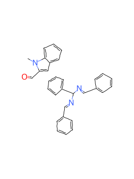 C(=NC(N=Cc1ccccc1)c1ccccc1)c1ccccc1.Cn1c(C=O)cc2ccccc21